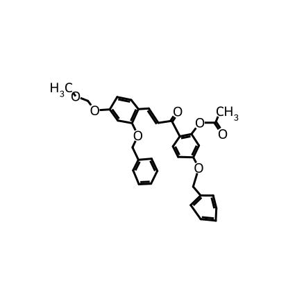 COCOc1ccc(C=CC(=O)c2ccc(OCc3ccccc3)cc2OC(C)=O)c(OCc2ccccc2)c1